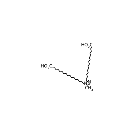 CC1CN=C(CCCCCCCCCCCCCCCCC(=O)O)N1CCCCCCCCCCCCCCCCCC(=O)O